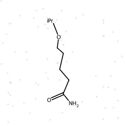 CC(C)OCCCCC(N)=O